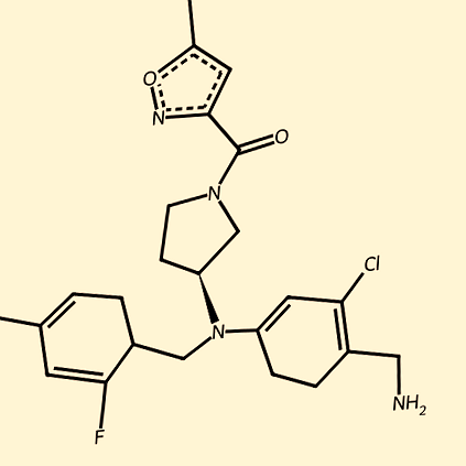 Cc1cc(C(=O)N2CC[C@H](N(CC3CC=C(F)C=C3F)C3=CC(Cl)=C(CN)CC3)C2)no1